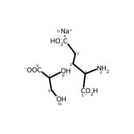 NC(CCC(=O)O)C(=O)O.O=C([O-])C(O)CO.[Na+]